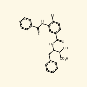 CCc1ccc(C(=O)N[C@H](Cc2ccccc2)[C@@H](O)C(=O)O)cc1NC(=O)c1ccncc1